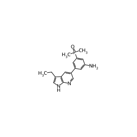 CCc1c[nH]c2ncc(-c3cc(N)cc(P(C)(C)=O)c3)cc12